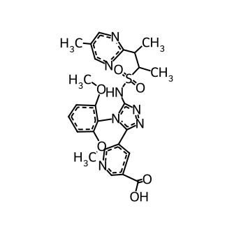 COc1cccc(OC)c1-n1c(NS(=O)(=O)C(C)C(C)c2ncc(C)cn2)nnc1-c1cncc(C(=O)O)c1